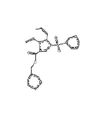 C=Nc1c(C(=O)OCc2ccccc2)cn(S(=O)(=O)c2ccccc2)c1/C=C\C